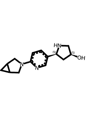 O[C@@H]1CN[C@H](c2ccc(N3CC4CC4C3)nc2)C1